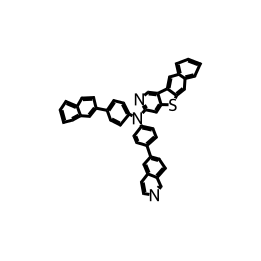 c1ccc2cc(-c3ccc(N(c4ccc(-c5ccc6cnccc6c5)cc4)c4cc5sc6cc7ccccc7cc6c5cn4)cc3)ccc2c1